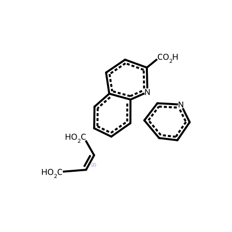 O=C(O)/C=C\C(=O)O.O=C(O)c1ccc2ccccc2n1.c1ccncc1